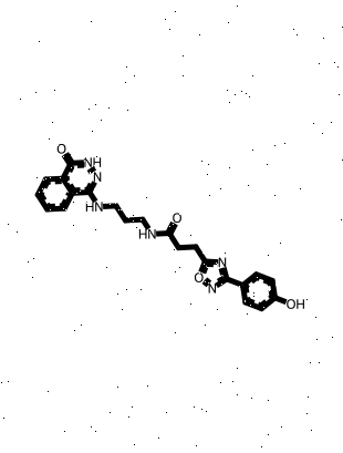 O=C(CCc1nc(-c2ccc(O)cc2)no1)NCCCNc1n[nH]c(=O)c2ccccc12